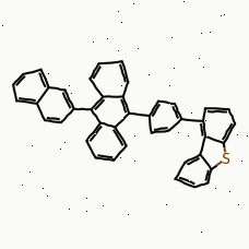 c1ccc2cc(-c3c4ccccc4c(-c4ccc(-c5cccc6sc7ccccc7c56)cc4)c4ccccc34)ccc2c1